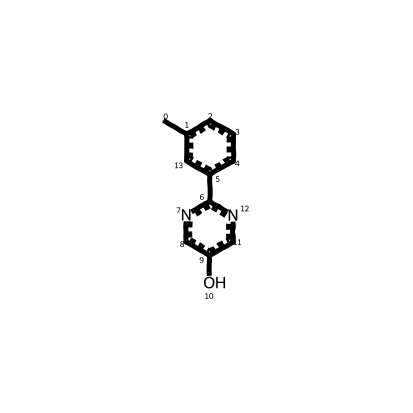 Cc1cccc(-c2ncc(O)cn2)c1